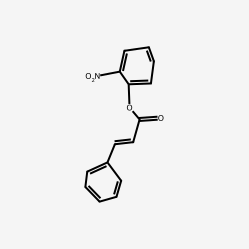 O=C(C=Cc1ccccc1)Oc1ccccc1[N+](=O)[O-]